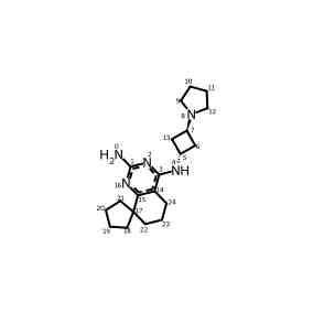 Nc1nc(N[C@H]2C[C@H](N3CCCC3)C2)c2c(n1)C1(CCCC1)CCC2